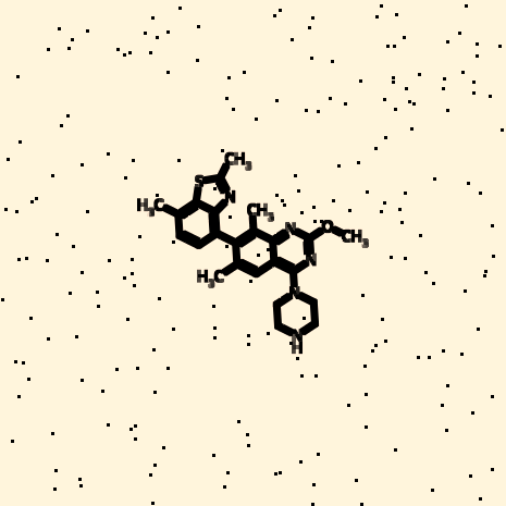 COc1nc(N2CCNCC2)c2cc(C)c(-c3ccc(C)c4sc(C)nc34)c(C)c2n1